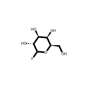 OC[C@H]1OC(F)[C@H](O)[C@@H](O)[C@H]1O